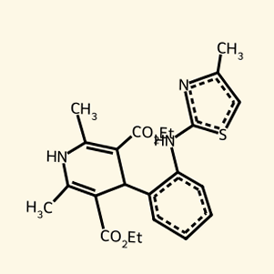 CCOC(=O)C1=C(C)NC(C)=C(C(=O)OCC)C1c1ccccc1Nc1nc(C)cs1